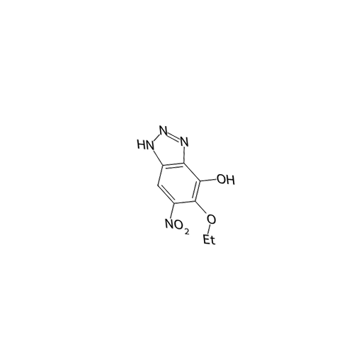 CCOc1c([N+](=O)[O-])cc2[nH]nnc2c1O